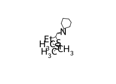 CCC(C=NC1CCCCC1)S[Si](C)(C)C